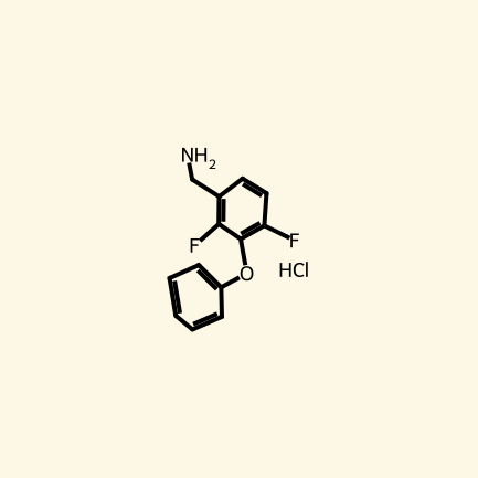 Cl.NCc1ccc(F)c(Oc2ccccc2)c1F